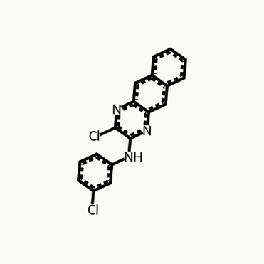 Clc1cccc(Nc2nc3cc4ccccc4cc3nc2Cl)c1